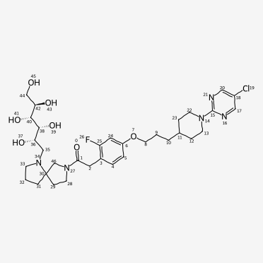 O=C(Cc1ccc(OCCCC2CCN(c3ncc(Cl)cn3)CC2)cc1F)N1CCC2(CCCN2C[C@H](O)[C@@H](O)[C@H](O)[C@H](O)CO)C1